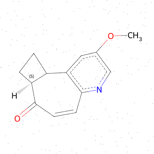 COc1cnc2c(c1)C1CC[C@@H]1C(=O)C=C2